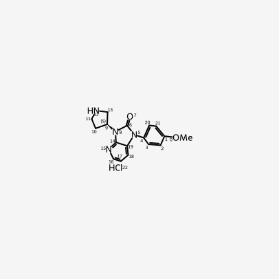 COc1ccc(-n2c(=O)n([C@H]3CCNC3)c3ncccc32)cc1.Cl